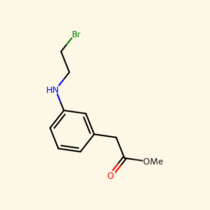 COC(=O)Cc1cccc(NCCBr)c1